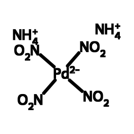 O=[N+]([O-])[Pd-2]([N+](=O)[O-])([N+](=O)[O-])[N+](=O)[O-].[NH4+].[NH4+]